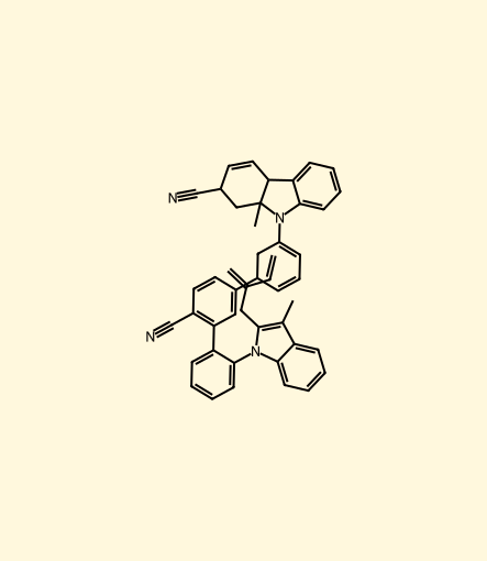 C=CC(=C)Cc1c(C)c2ccccc2n1-c1ccccc1-c1cc(C2C=CC=C(N3c4ccccc4C4C=CC(C#N)CC43C)C2)ccc1C#N